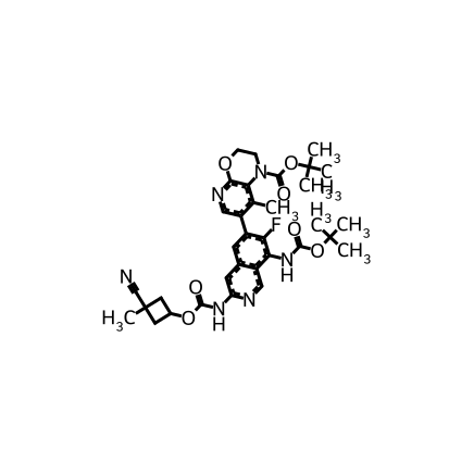 Cc1c(-c2cc3cc(NC(=O)OC4CC(C)(C#N)C4)ncc3c(NC(=O)OC(C)(C)C)c2F)cnc2c1N(C(=O)OC(C)(C)C)CCO2